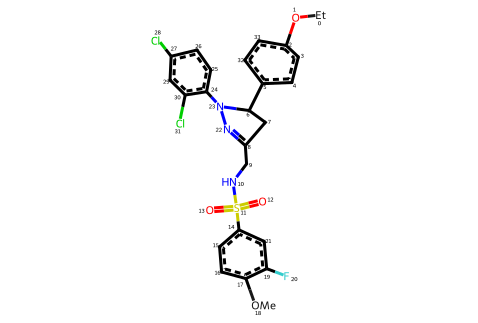 CCOc1ccc(C2CC(CNS(=O)(=O)c3ccc(OC)c(F)c3)=NN2c2ccc(Cl)cc2Cl)cc1